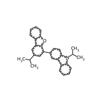 CC(C)c1cc(-c2ccc3c(c2)c2ccccc2n3C(C)C)c2oc3ccccc3c2c1